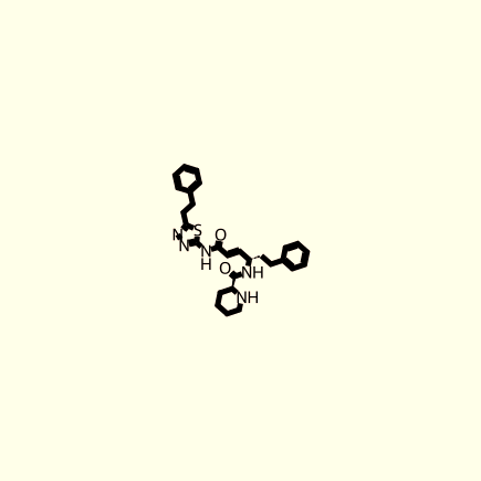 O=C(C=C[C@H](CCc1ccccc1)NC(=O)[C@@H]1CCCCN1)Nc1nnc(CCc2ccccc2)s1